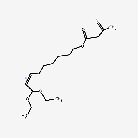 CCOC(/C=C\CCCCCCOC(=O)CC(C)=O)OCC